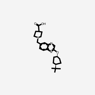 CC(C)(C)[C@H]1CC[C@H](Oc2cnc3cc(CN4CCC(C(=O)O)CC4)ccc3n2)CC1